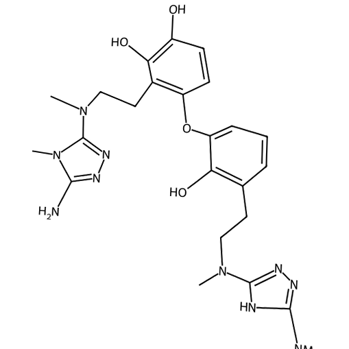 CNc1nnc(N(C)CCc2cccc(Oc3ccc(O)c(O)c3CCN(C)c3nnc(N)n3C)c2O)[nH]1